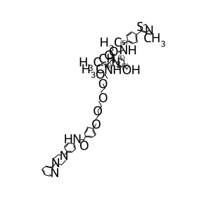 Cc1ncsc1-c1ccc([C@H](C)NC(=O)[C@@H]2C[C@@H](O)CN2C(=O)[C@@H](NC(=O)COCCOCCOCCOc2ccc(C(=O)Nc3ccc(N4CCN(c5ccccn5)CC4)cc3)cc2)C(C)(C)C)cc1